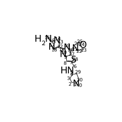 CN1CCC(NCc2cc3nc(-c4cnc(N)nc4)nc(N4CCOCC4)c3s2)CC1